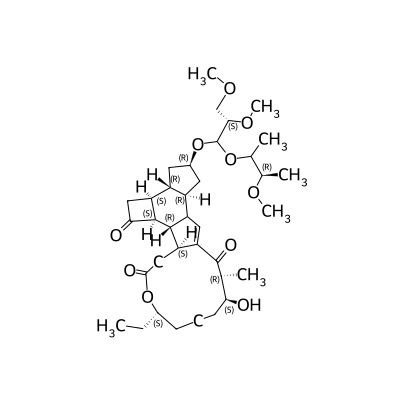 CC[C@H]1CCC[C@H](O)[C@@H](C)C(=O)C2=CC3[C@@H]([C@H]4C(=O)C[C@H]4[C@@H]4C[C@@H](OC(OC(C)[C@@H](C)OC)[C@H](COC)OC)C[C@@H]34)[C@@H]2CC(=O)O1